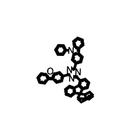 c1ccc(-n2c3ccccc3c3ccc(-c4nc(-c5ccc6c(c5)oc5ccccc56)nc(-c5cccc6c5-c5ccccc5C65C6CC7CC(C6)C5C7)n4)cc32)cc1